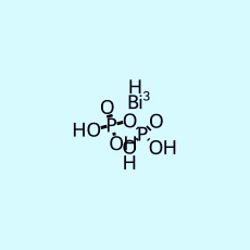 O=P(O)(O)OP(=O)(O)O.[BiH3]